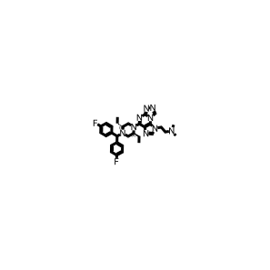 CC[C@H]1CN(C(c2ccc(F)cc2)c2ccc(F)cc2)[C@H](CC)CN1c1nc2nncn2c2c1ncn2CCN(C)C